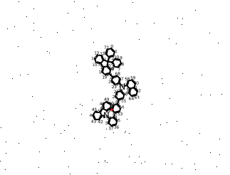 c1ccc(C2(c3ccccc3)c3ccccc3-c3ccc(-c4ccc(N(c5ccc(-c6ccc(-c7ccccc7-n7c8ccccc8c8ccccc87)cc6)cc5)c5cccc6ccccc56)cc4)cc32)cc1